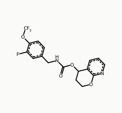 O=C(NCc1ccc(OC(F)(F)F)c(F)c1)OC1CCOc2ncccc21